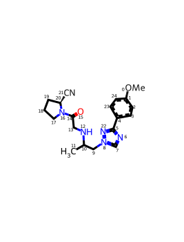 COc1ccc(-c2ncn(CC(C)NCC(=O)N3CCC[C@H]3C#N)n2)cc1